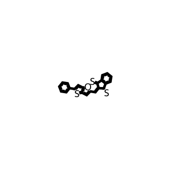 S=C1C(=Cc2cc3sc(-c4ccccc4)cc3o2)C(=S)c2ccccc21